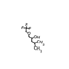 CC(C)CC(O)COCC(F)(F)F